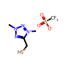 Cn1nc(CS)[n+](C)n1.O=S(=O)([O-])C(F)(F)F